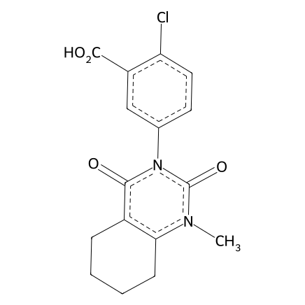 Cn1c2c(c(=O)n(-c3ccc(Cl)c(C(=O)O)c3)c1=O)CCCC2